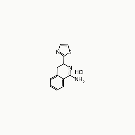 Cl.NC1=NC(c2nccs2)Cc2ccccc21